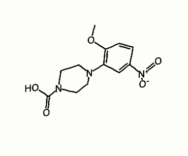 COc1ccc([N+](=O)[O-])cc1N1CCN(C(=O)O)CC1